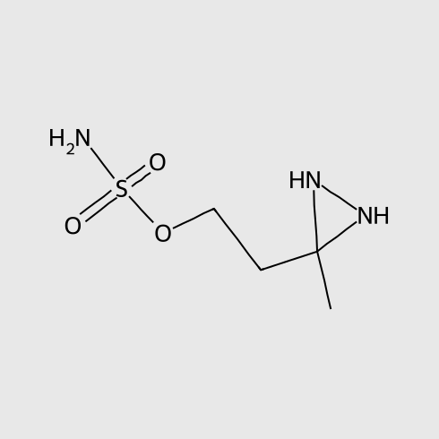 CC1(CCOS(N)(=O)=O)NN1